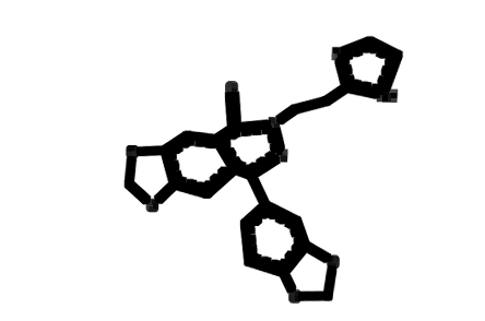 O=c1c2cc3c(cc2c(-c2ccc4c(c2)OCO4)nn1CCc1ncc[nH]1)OCO3